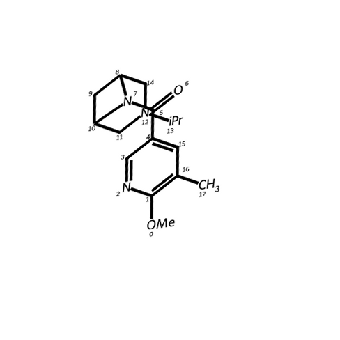 COc1ncc(C(=O)N2C3CC2CN(C(C)C)C3)cc1C